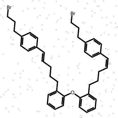 BrCCCc1ccc(C=CCCCc2ccccc2Oc2ccccc2CCC/C=C\c2ccc(CCCBr)cc2)cc1